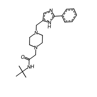 CC(C)(C)NC(=O)CN1CCN(Cc2cnc(-c3ccccc3)[nH]2)CC1